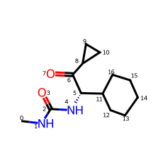 CNC(=O)N[C@H](C(=O)C1CC1)C1CCCCC1